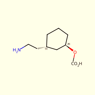 NCC[C@@H]1CCC[C@@H](OC(=O)O)C1